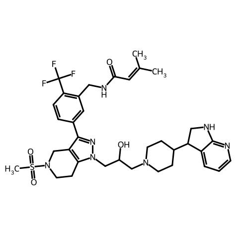 CC(C)=CC(=O)NCc1cc(-c2nn(CC(O)CN3CCC(C4CNc5ncccc54)CC3)c3c2CN(S(C)(=O)=O)CC3)ccc1C(F)(F)F